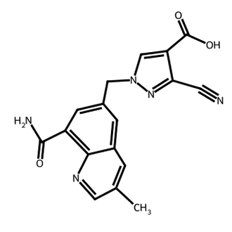 Cc1cnc2c(C(N)=O)cc(Cn3cc(C(=O)O)c(C#N)n3)cc2c1